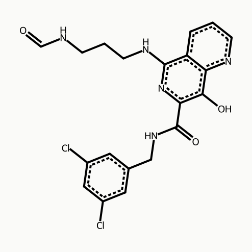 O=CNCCCNc1nc(C(=O)NCc2cc(Cl)cc(Cl)c2)c(O)c2ncccc12